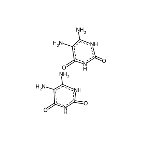 Nc1[nH]c(=O)[nH]c(=O)c1N.Nc1[nH]c(=O)[nH]c(=O)c1N